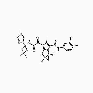 Cc1ccc(NC(=O)c2c(C)c(C(=O)C(=O)NC3(c4c[nH]nn4)CC(F)(F)C3)c3n2[C@@H]2C[C@@H]2C3)cc1F